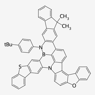 CC(C)(C)c1ccc(N2B3c4cc5sc6ccccc6c5cc4-n4c5ccc6oc7ccccc7c6c5c5ccc(c3c54)-c3cc4c(cc32)-c2ccccc2C4(C)C)cc1